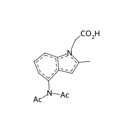 CC(=O)N(C(C)=O)c1cccc2c1cc(C)n2CC(=O)O